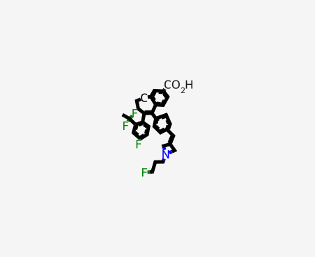 CC(F)(F)c1cc(F)ccc1C1=C(c2ccc(C=C3CN(CCCF)C3)cc2)c2ccc(C(=O)O)cc2CCC1